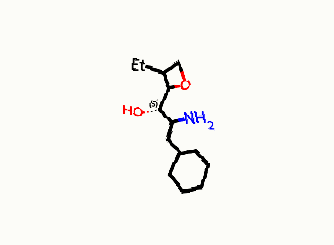 CCC1COC1[C@@H](O)C(N)CC1CCCCC1